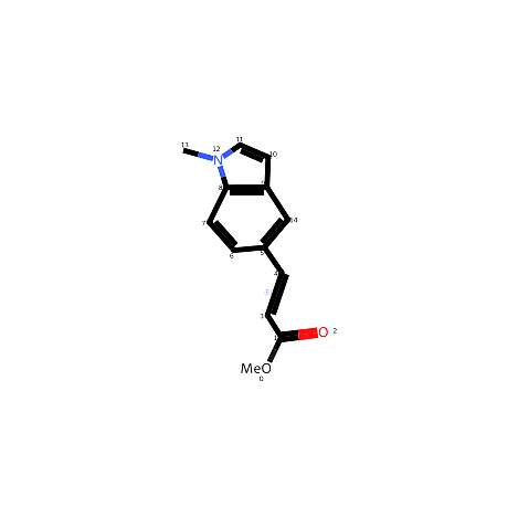 COC(=O)/C=C/c1ccc2c(ccn2C)c1